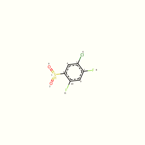 O=[SH](=O)c1cc(Cl)c(F)cc1F